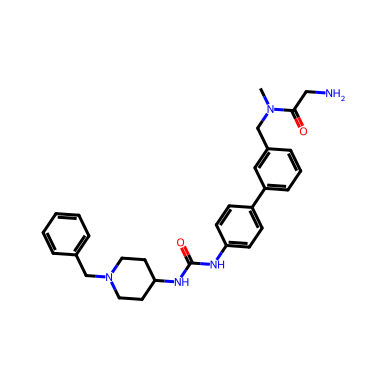 CN(Cc1cccc(-c2ccc(NC(=O)NC3CCN(Cc4ccccc4)CC3)cc2)c1)C(=O)CN